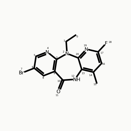 CCN1c2ncc(Br)cc2C(=O)Nc2c(C)cc(F)nc21